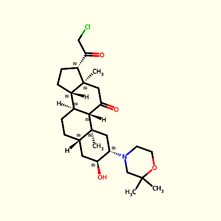 CC1(C)CN([C@H]2C[C@@]3(C)[C@@H](CC[C@H]4[C@@H]5CC[C@H](C(=O)CCl)[C@@]5(C)CC(=O)[C@@H]43)C[C@@H]2O)CCO1